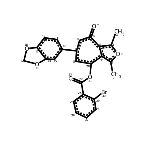 Cc1oc(C)c2c(=O)cc(-c3ccc4c(c3)OCO4)cc(OC(=O)c3ccccc3Br)c12